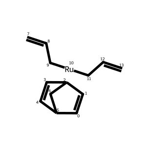 C1=CC2C=CC1C2.C=C[CH2][Ru][CH2]C=C